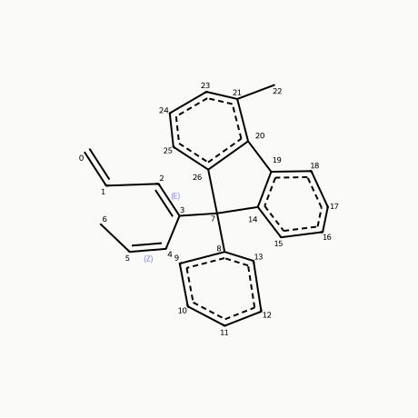 C=C/C=C(\C=C/C)C1(c2ccccc2)c2ccccc2-c2c(C)cccc21